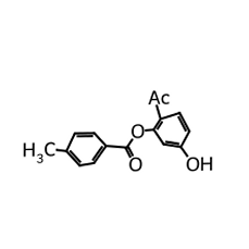 CC(=O)c1ccc(O)cc1OC(=O)c1ccc(C)cc1